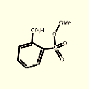 COOS(=O)(=O)c1ccccc1C(=O)O